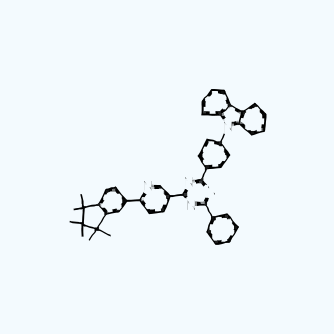 CC1(C)c2ccc(-c3ccc(-c4nc(-c5ccccc5)nc(-c5ccc(-n6c7ccccc7c7ccccc76)cc5)n4)cn3)cc2C(C)(C)C1(C)C